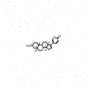 CC12CC[C@H](O)C[C@H]1CCC1C2CC[C@]2(C)C(c3ccc(=O)oc3)=CC[C@H]12